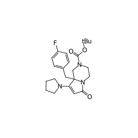 CC(C)(C)OC(=O)N1CCN2C(=O)C=C(N3CCCC3)C2(Cc2ccc(F)cc2)C1